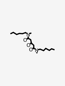 CCCCCCN(C)C(=O)CC(=O)CC(=O)N(C)CCCCCC